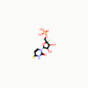 O=c1[nH]c(=S)ccn1[C@@H]1O[C@](F)(COP(=O)(O)O)[C@@H](O)[C@H]1O